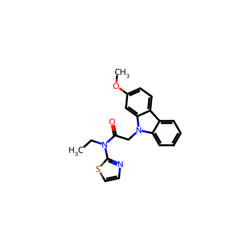 CCN(C(=O)Cn1c2ccccc2c2ccc(OC)cc21)c1nccs1